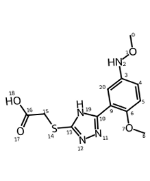 CONc1ccc(OC)c(-c2nnc(SCC(=O)O)[nH]2)c1